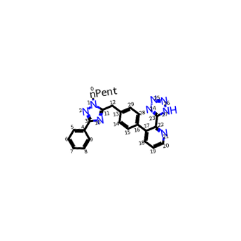 CCCCCn1nc(-c2ccccc2)nc1Cc1ccc(-c2cccnc2-c2nnn[nH]2)cc1